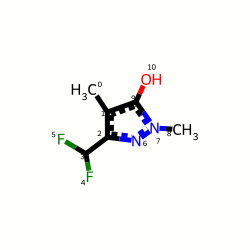 Cc1c(C(F)F)nn(C)c1O